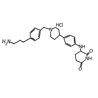 Cl.NCCCc1ccc(CN2CCC(c3ccc(NC4CCC(=O)NC4=O)cc3)CC2)cc1